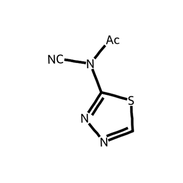 CC(=O)N(C#N)c1nncs1